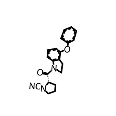 N#CN1CCC[C@H]1C(=O)N1CCc2c(Oc3ccccc3)cccc21